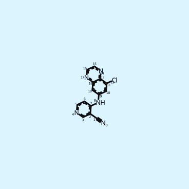 N#Cc1cnccc1Nc1cc(Cl)c2nccnc2c1